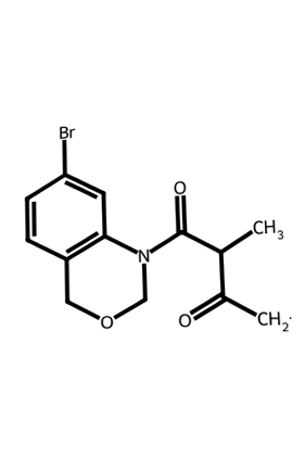 [CH2]C(=O)C(C)C(=O)N1COCc2ccc(Br)cc21